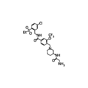 CCS(=O)(=O)c1ccc(Cl)cc1CNC(=O)c1ccc(CN2CCCC(NC(=O)CN)C2)c(OC(F)(F)F)c1